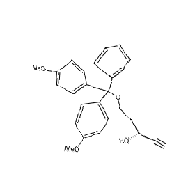 C#C[C@H](O)CCOC(c1ccccc1)(c1ccc(OC)cc1)c1ccc(OC)cc1